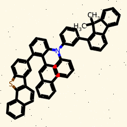 CC1(C)c2ccccc2-c2cccc(-c3cccc(N(c4ccccc4)c4cccc(-c5ccc6sc7c8ccccc8ccc7c6c5)c4-c4ccc5ccccc5c4)c3)c21